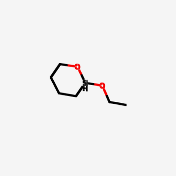 CCO[SiH]1CCCCO1